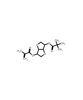 C=C(C)C(=O)OC1COC2C(OC(=O)C(C)(C)C)COC12